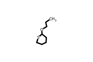 CC[CH]OC1CCCCS1